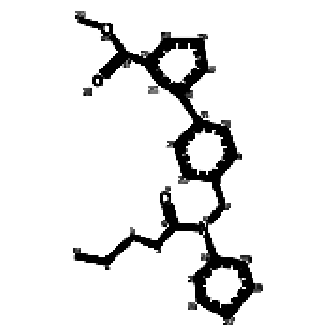 CCCCC(=O)N(Cc1ccc(-c2cccc(C(=O)OC)c2)cc1)c1ccccc1